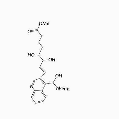 CCCCCC(O)c1c(/C=C/C(O)C(O)CCCC(=O)OC)cnc2ccccc12